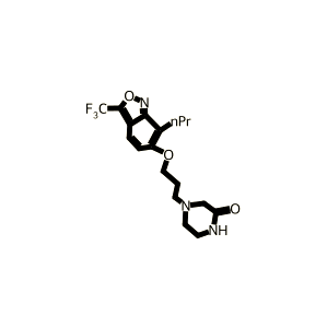 CCCc1c(OCCCN2CCNC(=O)C2)ccc2c(C(F)(F)F)onc12